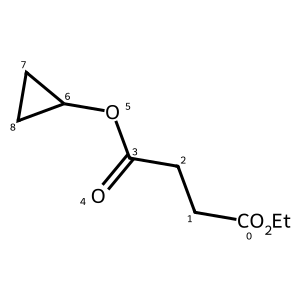 CCOC(=O)CCC(=O)OC1CC1